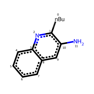 CCCCc1nc2ccccc2cc1N